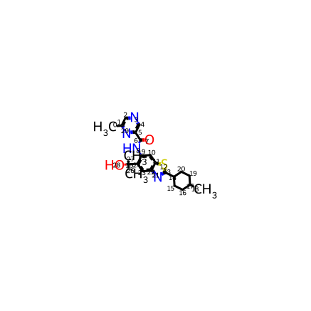 Cc1cncc(C(=O)Nc2cc3sc(C4CCC(C)CC4)nc3cc2C(C)(C)O)n1